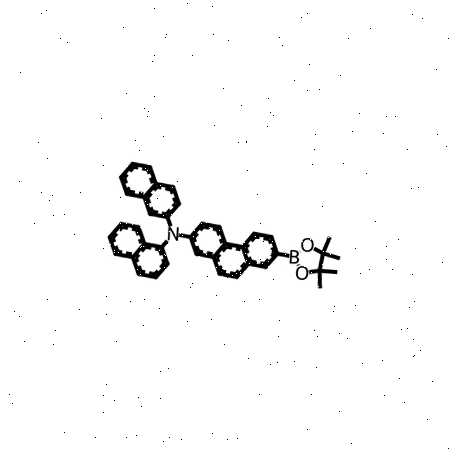 CC1(C)OB(c2ccc3c(ccc4cc(N(c5ccc6ccccc6c5)c5cccc6ccccc56)ccc43)c2)OC1(C)C